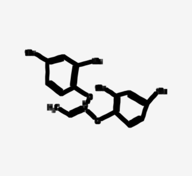 CC=[PH](Oc1ccc(C(C)(C)C)cc1C(C)(C)C)Oc1ccc(C(C)(C)C)cc1C(C)(C)C